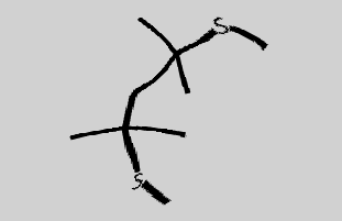 CSC(C)(C)CC(C)(C)SC